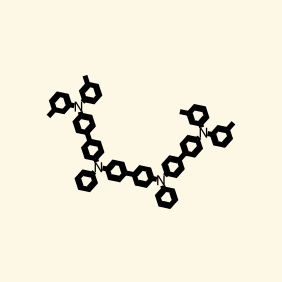 Cc1cccc(N(C2=CC=CC(C)C2)c2ccc(-c3ccc(N(c4ccccc4)c4ccc(-c5ccc(N(c6ccccc6)c6ccc(-c7ccc(N(c8cccc(C)c8)c8cccc(C)c8)cc7)cc6)cc5)cc4)cc3)cc2)c1